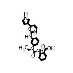 CCN(C(=O)Nc1ccccc1C(=O)O)c1cccc(Nc2nccc(-c3cc[nH]c3)n2)c1